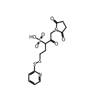 O=C(CN1C(=O)CCC1=O)C(CCSSc1ccccn1)S(=O)(=O)O